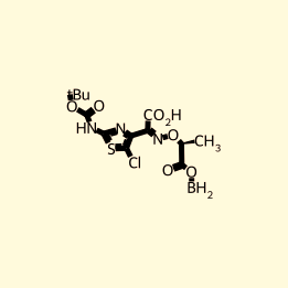 BOC(=O)[C@H](C)O/N=C(\C(=O)O)c1nc(NC(=O)OC(C)(C)C)sc1Cl